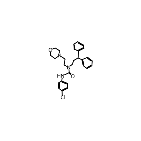 O=C(Nc1ccc(Cl)cc1)N(CCC(c1ccccc1)c1ccccc1)CCN1CCOCC1